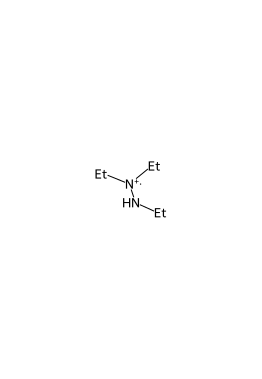 CCN[N+](CC)CC